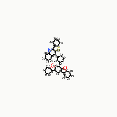 c1cc(-c2c3oc4ccccc4c3cc3c2oc2ccccc23)cc(-c2c3ccccc3nc3c2sc2ccccc23)c1